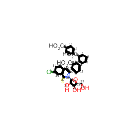 O=C(O)c1ccccc1.O=C(O)c1ccccc1.O=C(O)c1ccccc1.OC[C@H]1O[C@@H](n2ccc3ccc(Cl)cc3c2=S)[C@H](O)[C@@H]1O